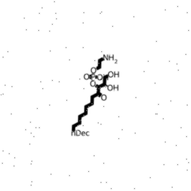 CCCCCCCCCCCCCCCCCC(=O)C(OP(=O)(O)OCCN)[C@@H](O)CO